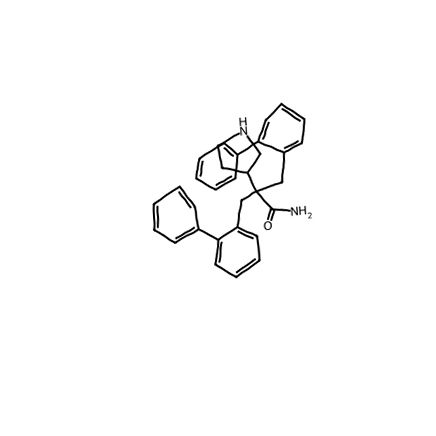 NC(=O)C(Cc1ccccc1-c1ccccc1)(Cc1ccccc1-c1ccccc1)C1CCNC1